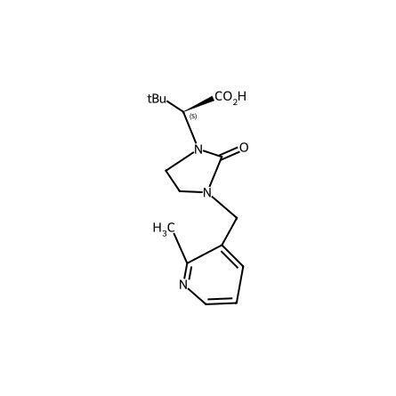 Cc1ncccc1CN1CCN([C@H](C(=O)O)C(C)(C)C)C1=O